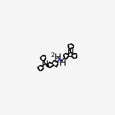 [2H]/C(=C(/[2H])c1ccc2c(c1)c1ccccc1n2-c1ccccc1)c1ccc2ccc(N(c3ccccc3)c3ccccc3)cc2c1